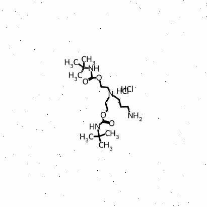 CC(C)(C)NC(=O)OCCN(CCCN)CCOC(=O)NC(C)(C)C.Cl.Cl